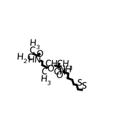 C=C(C)C(=O)NCCC(C)(C)OCC(C)(C)NC(=O)CCCCC1CCSS1